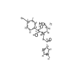 Cc1ccc(S(=O)(=O)N(CC(=O)c2cn(C)cn2)C[C@@H](C)O)cc1